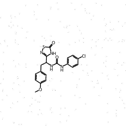 COc1ccc(CC(NC(=O)Nc2ccc(Cl)cc2)c2nsc(=O)[nH]2)cc1